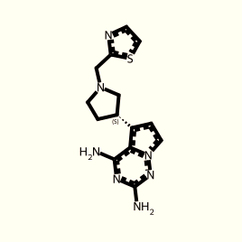 Nc1nc(N)c2c([C@@H]3CCN(Cc4nccs4)C3)ccn2n1